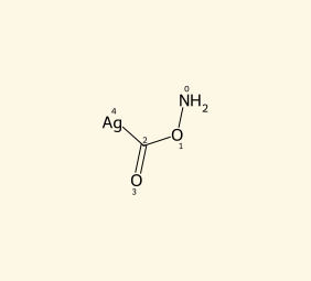 NO[C](=O)[Ag]